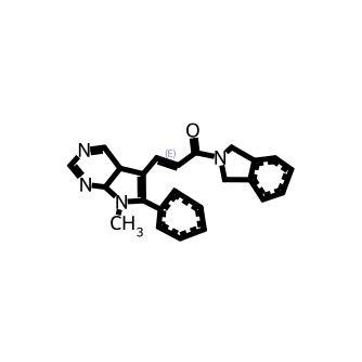 CN1C(c2ccccc2)=C(/C=C/C(=O)N2Cc3ccccc3C2)C2C=NC=NC21